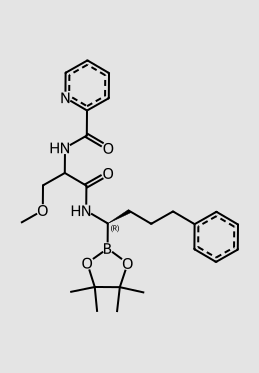 COCC(NC(=O)c1ccccn1)C(=O)N[C@@H](CCCc1ccccc1)B1OC(C)(C)C(C)(C)O1